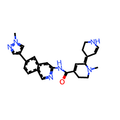 CN1CCC(C(=O)Nc2cc3cc(-c4cnn(C)c4)ccc3cn2)=CC1=C1C=CNCC1